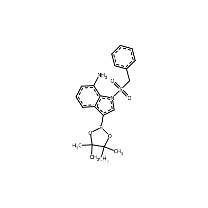 CC1(C)OB(c2cn(S(=O)(=O)Cc3ccccc3)c3c(N)cccc23)OC1(C)C